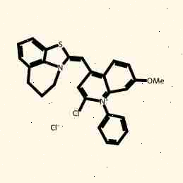 COc1ccc2c(C=C3Sc4cccc5c4N3CCC5)cc(Cl)[n+](-c3ccccc3)c2c1.[Cl-]